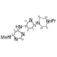 CNc1cc(Nc2ccc(N3CCN(C(C)C)CC3)nc2)ncn1